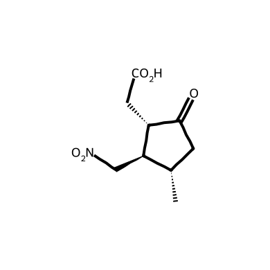 C[C@H]1CC(=O)[C@@H](CC(=O)O)[C@@H]1C[N+](=O)[O-]